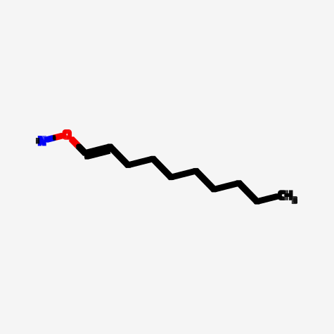 CCCCCCCCC=CO[N]